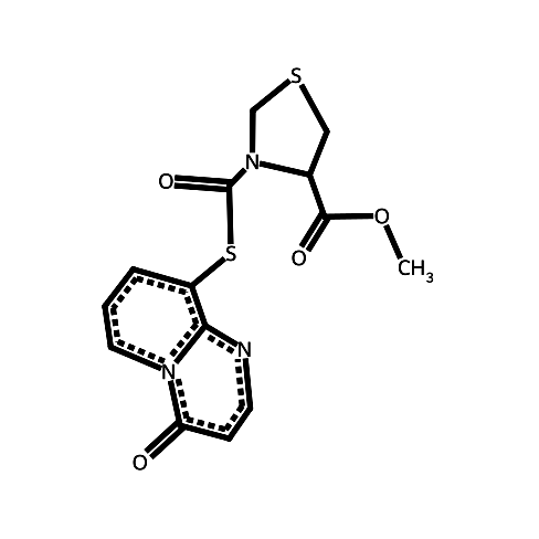 COC(=O)C1CSCN1C(=O)Sc1cccn2c(=O)ccnc12